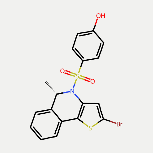 C[C@H]1c2ccccc2-c2sc(Br)cc2N1S(=O)(=O)c1ccc(O)cc1